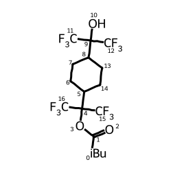 CCC(C)C(=O)OC(C1CCC(C(O)(C(F)(F)F)C(F)(F)F)CC1)(C(F)(F)F)C(F)(F)F